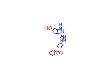 O=C(c1ccc(-n2cc(-c3n[nH]c4cc(O)ccc34)nn2)cc1)N1CCOCC1